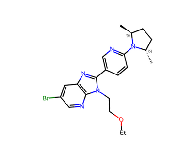 CCOCCn1c(-c2ccc(N3[C@@H](C)CC[C@@H]3C)nc2)nc2cc(Br)cnc21